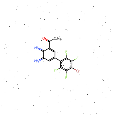 COC(=O)C1=CC(c2c(F)c(F)c(Br)c(F)c2F)=CC(=N)C1=N